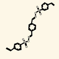 C=Cc1ccc(S(=O)(=O)O/N=C/c2ccc(/C=N/OS(=O)(=O)c3ccc(C=C)cc3)cc2)cc1